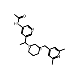 CC(=O)Nc1cncc(C(C)N2CCC[C@H](Cc3cc(C)nc(C)c3)C2)c1